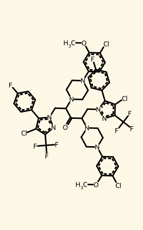 COc1cc(N2CCN(C(Cn3nc(C(F)(F)F)c(Cl)c3-c3ccc(F)cc3)C(=O)C(Cn3nc(C(F)(F)F)c(Cl)c3-c3ccc(F)cc3)N3CCN(c4ccc(Cl)c(OC)c4)CC3)CC2)ccc1Cl